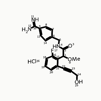 COC(C(=O)NCc1ccc(C(=N)N)cc1)c1c(F)cccc1C#CCO.Cl